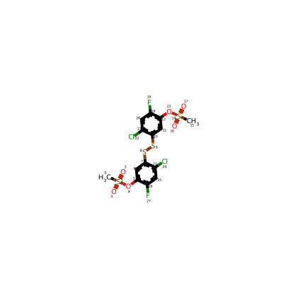 CS(=O)(=O)Oc1cc(SSc2cc(OS(C)(=O)=O)c(F)cc2Cl)c(Cl)cc1F